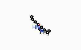 CN1c2cc(-c3cccc4ccccc34)ccc2-c2ccc3c4c(ccc1c24)Nc1cc(-c2ccc(-c4ccc5ccccc5c4)cc2)ccc1-3